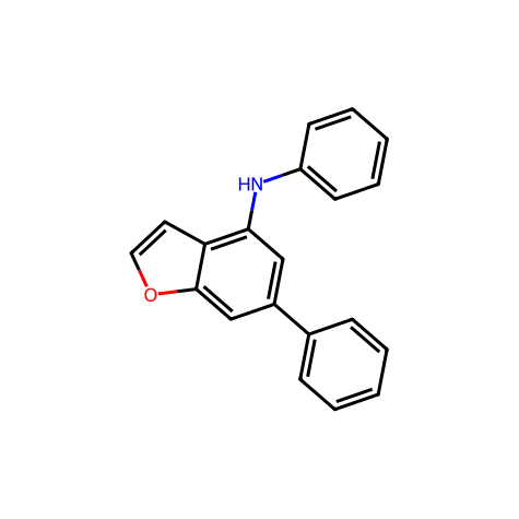 c1ccc(Nc2cc(-c3ccccc3)cc3occc23)cc1